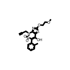 C#CCN1c2nc(OCCOC)sc2C(O)=C(c2ccccc2C)S1(=O)=O